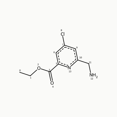 CCOC(=O)c1cc(Cl)cc(CN)n1